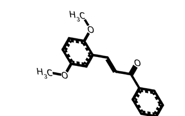 COc1ccc(OC)c(C=CC(=O)c2ccc(O)cc2)c1